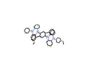 C=Cc1ccc(N(c2ccccc2)c2ccccc2-n2c3ccccc3c3cc4c(cc32)c2ccccc2n4-c2ccccc2N(c2ccccc2)c2ccc(C=C)cc2)cc1